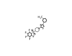 Cc1cccc(-c2csc(N3CCC(S(=O)(=O)c4c(F)c(F)c(F)c(F)c4F)CC3)n2)c1